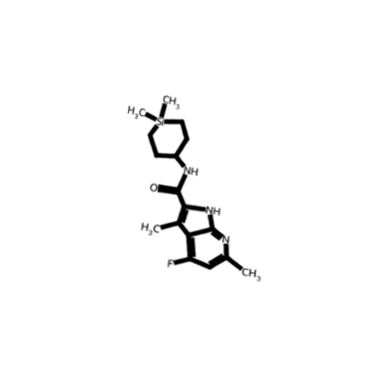 Cc1cc(F)c2c(C)c(C(=O)NC3CC[Si](C)(C)CC3)[nH]c2n1